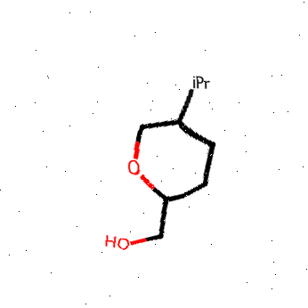 CC(C)C1CCC(CO)OC1